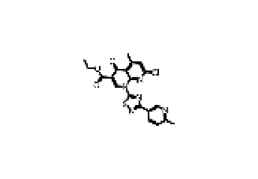 CCOC(=O)c1cn(-c2nc(-c3ccc(C)nc3)ns2)c2nc(Cl)cc(C)c2c1=O